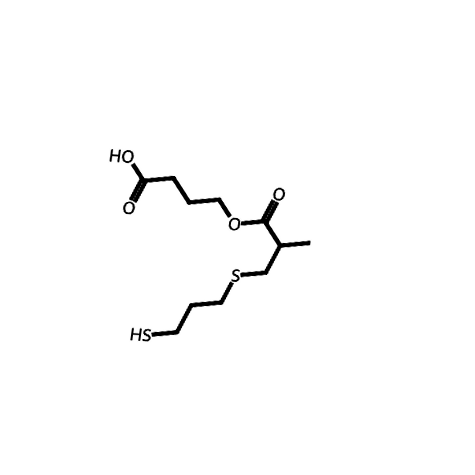 CC(CSCCCS)C(=O)OCCCC(=O)O